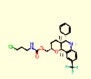 O=C(NCCCCl)OC[C@H]1CC[C@@H]2[C@H](O1)c1cc(C(F)(F)F)ccc1N[C@H]2C1C=CC=CC1